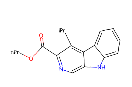 CCCOC(=O)c1ncc2[nH]c3ccccc3c2c1C(C)C